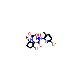 Cc1ccc(Br)nc1NC(=O)[C@@H]1[C@@H]2CC[C@@H](C2)N1C(=O)O